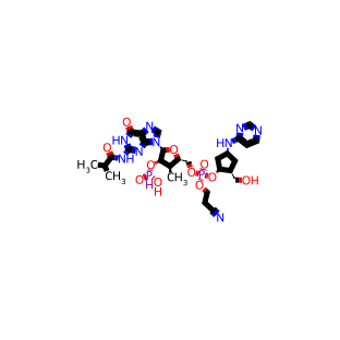 CC(C)C(=O)Nc1nc2c(ncn2[C@@H]2O[C@H](COP(=O)(OCCC#N)O[C@H]3C[C@H](Nc4ccncn4)C[C@@H]3CO)[C@@H](C)[C@H]2O[PH](=O)O)c(=O)[nH]1